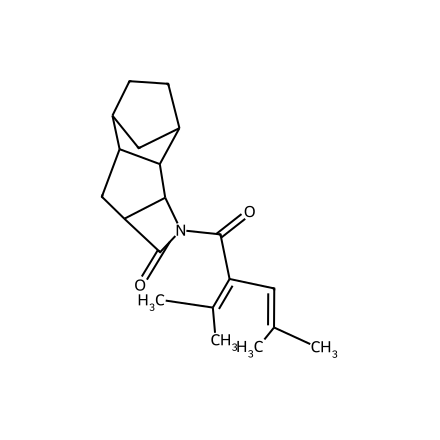 CC(C)=CC(C(=O)N1C(=O)C2CC3C4CCC(C4)C3C21)=C(C)C